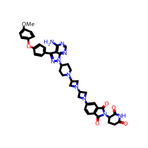 COc1ccc(Oc2ccc(-c3nn(C4CCN(C5CN(C6CN(c7ccc8c(c7)C(=O)N(C7CCC(=O)NC7=O)C8=O)C6)C5)CC4)c4ncnc(N)c34)cc2)cc1